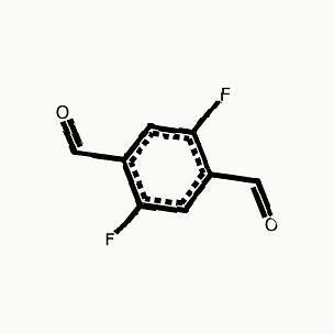 O=Cc1cc(F)c(C=O)cc1F